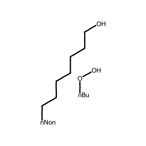 CCCCCCCCCCCCCCCCO.CCCCOO